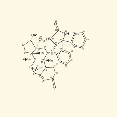 CC(=O)[C@H]1CC[C@H]2[C@@H]3CCC4=CC(=O)CC[C@]4(C)[C@H]3CC[C@]12C.O=C1NC(=O)C(c2ccccc2)(c2ccccc2)N1